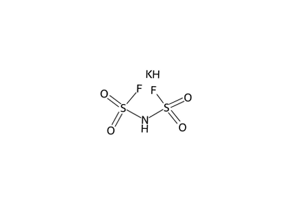 O=S(=O)(F)NS(=O)(=O)F.[KH]